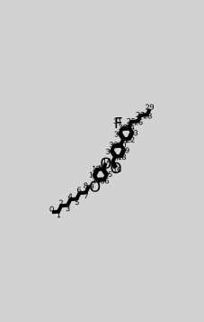 CCCCCCCCCOc1ccc(OC(=O)c2ccc(-c3ccc(CCCCC)c(F)c3)cc2)cc1